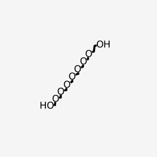 OCCOCOCOCOCOCOCOCO